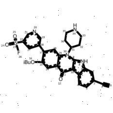 C#Cc1ccc2c(c1)[nH]c1c2c(=O)c2cc(OCC(C)C)c(-c3cncc(S(=O)(=O)F)c3)cc2n1C1CCNCC1